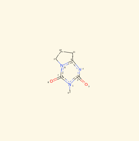 Cn1c(=O)nc2n(c1=O)CCC2